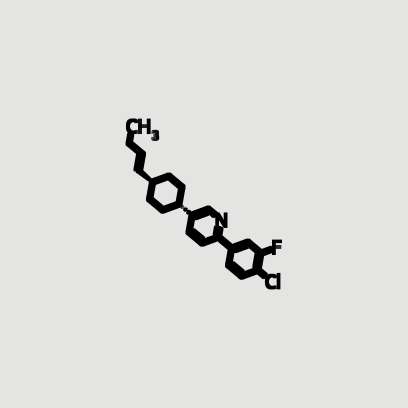 CCC=C[C@H]1CC[C@H](c2ccc(-c3ccc(Cl)c(F)c3)nc2)CC1